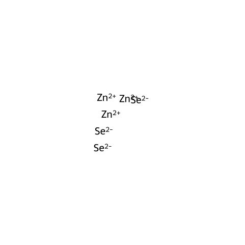 [Se-2].[Se-2].[Se-2].[Zn+2].[Zn+2].[Zn+2]